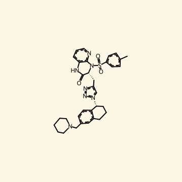 Cc1ccc(S(=O)(=O)N2c3ncccc3NC(=O)[C@H]2Cc2cn([C@@H]3CCCc4cc(CN5CCCCC5)ccc43)nn2)cc1